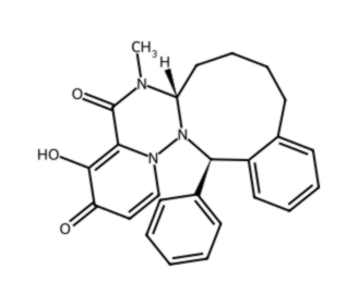 CN1C(=O)c2c(O)c(=O)ccn2N2[C@H](c3ccccc3)c3ccccc3CCCC[C@@H]12